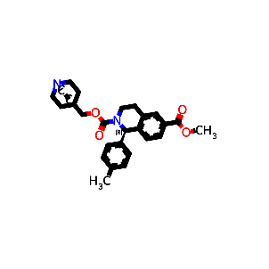 COC(=O)c1ccc2c(c1)CCN(C(=O)OCC13CCN(CC1)CC3)[C@@H]2c1ccc(C)cc1